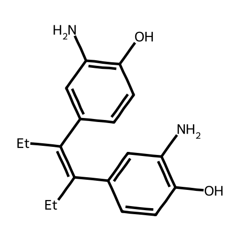 CCC(=C(CC)c1ccc(O)c(N)c1)c1ccc(O)c(N)c1